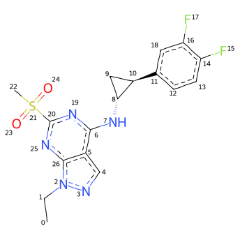 CCn1ncc2c(N[C@@H]3C[C@H]3c3ccc(F)c(F)c3)nc(S(C)(=O)=O)nc21